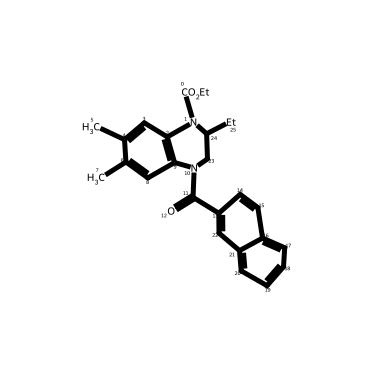 CCOC(=O)N1c2cc(C)c(C)cc2N(C(=O)c2ccc3ccccc3c2)CC1CC